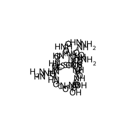 C[C@@H]1NC(=O)[C@@H]2CSSC[C@H](NC(=O)CN)C(=O)N[C@@H](CSSC[C@@H](C(N)=O)NC(=O)[C@H](CCCNC(=N)N)NC(=O)[C@H](CC3Cc4ccccc4N3)NC1=O)C(=O)N[C@@H](CO)C(=O)N[C@@H](CC(=O)O)C(=O)N1CCCC1C(=O)N[C@@H](CCCNC(=N)N)C(=O)N2